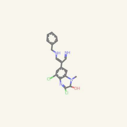 CN1c2cc(/C(C=N)=C/NCc3ccccc3)cc(Cl)c2N=C(Cl)C1O